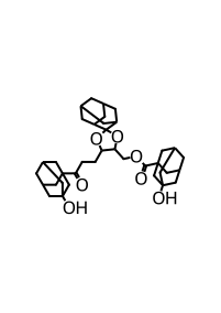 O=C(CCC1OC2(OC1COC(=O)C13CC4CC(CC(O)(C4)C1)C3)C1CC3CC(C1)CC2C3)C12CC3CC(CC(O)(C3)C1)C2